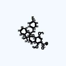 COc1cc([N+](=O)[O-])c(OC)c2c1OC1(C=C2)N(Cc2ccc(F)cc2)c2ccccc2C1(C)C